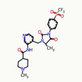 CC1C(=O)N(c2ccc(S(=O)(=O)C(F)(F)F)cc2)C(=O)N1Cc1ccncc1NC(=O)C1CCN(C)CC1